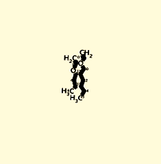 C=COCCCC.C=COCCCCCC